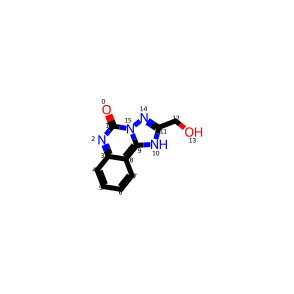 O=c1nc2ccccc2c2[nH]c(CO)nn12